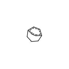 [C]1Cc2ccc(cc2)C1